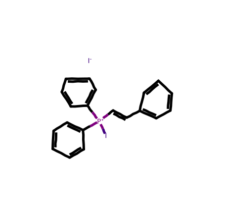 I[P+](C=Cc1ccccc1)(c1ccccc1)c1ccccc1.[I-]